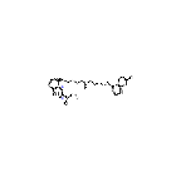 C=c1nccc(NCCCCNCCCCNc2ccnc3cc(Cl)ccc23)/c1=C/C=C(\C)Cl